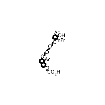 CCCc1c(OCCOCCOCCOc2ccc3ccc(OCC(=O)O)cc3c2C(C)=O)ccc(C(C)=O)c1O